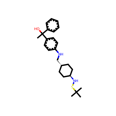 CC(C)(C)SN[C@H]1CC[C@H](CNc2ccc(C(C)(O)c3ccccc3)cc2)CC1